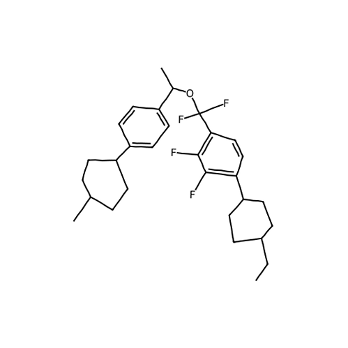 CCC1CCC(c2ccc(C(F)(F)OC(C)c3ccc(C4CCC(C)CC4)cc3)c(F)c2F)CC1